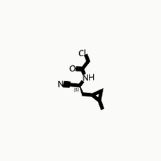 CC1CC1C[C@@H](C#N)NC(=O)CCl